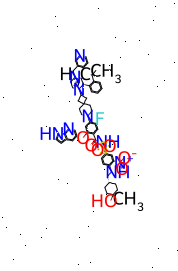 CC(C)c1ccccc1[C@@H]1CN(Cc2cccnc2)CCN1C1CC2(CCN(c3cc(Oc4cnc5[nH]ccc5c4)c(C(=O)NS(=O)(=O)c4ccc(NC[C@H]5CC[C@](C)(O)CC5)c([N+](=O)[O-])c4)cc3F)CC2)C1